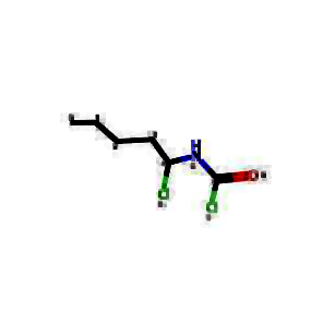 CCCCC(Cl)NC(=O)Cl